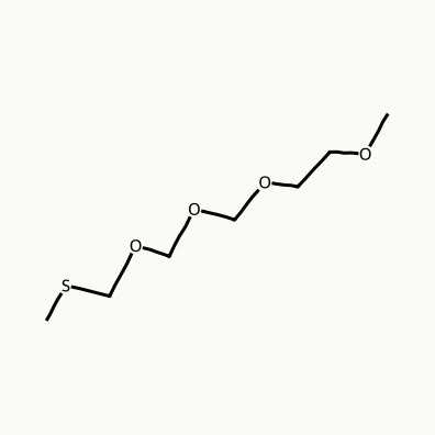 COCCOCOCOCSC